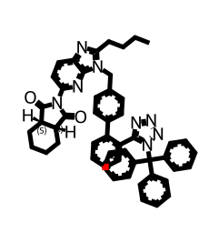 CCCCc1nc2ccc(N3C(=O)[C@H]4CCCC[C@H]4C3=O)nc2n1Cc1ccc(-c2ccccc2-c2nnnn2C(c2ccccc2)(c2ccccc2)c2ccccc2)cc1